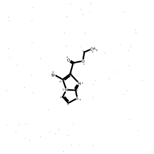 CCOC(=O)c1nc2sccn2c1Br